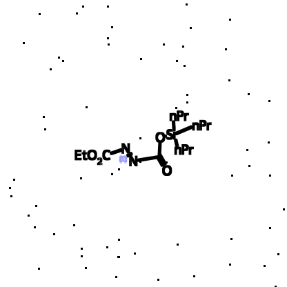 CCC[Si](CCC)(CCC)OC(=O)/N=N/C(=O)OCC